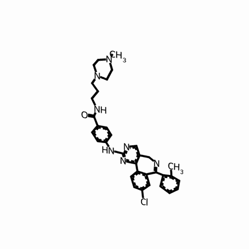 Cc1ccccc1C1=NCc2cnc(Nc3ccc(C(=O)NCCCN4CCN(C)CC4)cc3)nc2-c2ccc(Cl)cc21